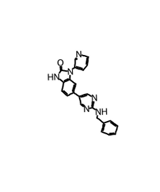 O=c1[nH]c2ccc(-c3cnc(NCc4ccccc4)nc3)cc2n1-c1cccnc1